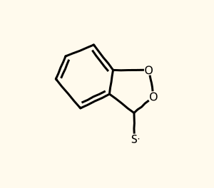 [S]C1OOc2ccccc21